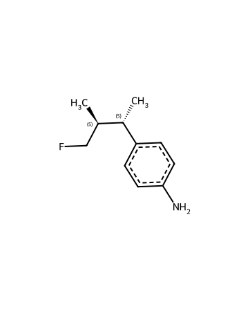 C[C@H](CF)[C@H](C)c1ccc(N)cc1